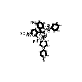 CCOc1ncccc1C1(OC(=O)N2CCN(C3CCN(C)CC3)CC2)C(=O)N(S(=O)(=O)c2ccccc2)c2ccc(C#N)cc21.CS(=O)(=O)O